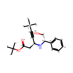 CC(C)(C)OC(=O)C[C@@H](C#C[Si](C)(C)C)N[C@H](CO)c1ccccc1